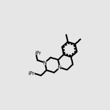 Cc1cc2c(cc1C)C1CN(CC(C)C)C(CC(C)C)CN1CC2